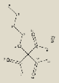 CCCCOC(C(C)=O)(C(C)=O)C(C)=O.[Zr]